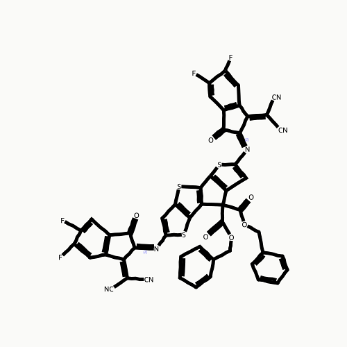 N#CC(C#N)=C1/C(=N/c2cc3c(s2)-c2sc4cc(/N=C5\C(=O)c6cc(F)c(F)cc6C5=C(C#N)C#N)sc4c2C3(C(=O)OCc2ccccc2)C(=O)OCc2ccccc2)C(=O)c2cc(F)c(F)cc21